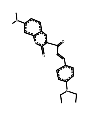 CCN(CC)c1ccc(C=CC(=O)c2cc3ccc(N(C)C)cc3oc2=O)cc1